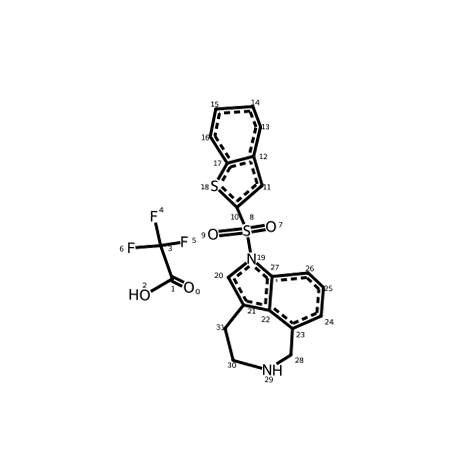 O=C(O)C(F)(F)F.O=S(=O)(c1cc2ccccc2s1)n1cc2c3c(cccc31)CNCC2